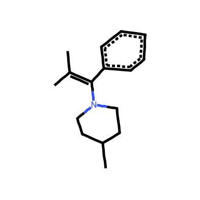 CC(C)=C(c1ccccc1)N1CCC(C)CC1